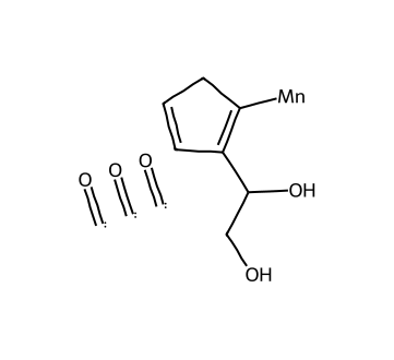 OCC(O)C1=[C]([Mn])CC=C1.[C]=O.[C]=O.[C]=O